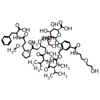 CCC(C)[C@@H]([C@@H](CC(=O)N1CCC[C@H]1[C@H](OC)[C@@H](C)C(=O)NC(Cc1ccccc1)C(=O)O)OC)N(C)C(=O)[C@@H](NC(=O)[C@H](C(C)C)N(C)C(=O)OCc1cc(C(=O)NCCOCCO)ccc1O[C@@H]1O[C@H](C(=O)O)[C@@H](O)[C@H](O)[C@H]1O)C(C)C